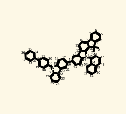 CC1(C)c2ccccc2-c2ccc3c4cc(-c5ccc6c(c5)c5ccccc5n6-c5ccc(-c6ccccc6)cc5)ccc4n(-c4cccc5ccccc45)c3c21